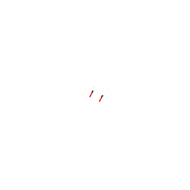 O=C[O-].O=C[O-].[Cd+2]